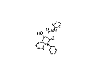 O=C(NC1=NCCS1)c1c(O)c2cccnc2n(-c2ccccc2)c1=O